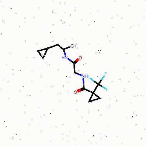 CC(CC1CC1)NC(=O)CNC(=O)C1(C(F)(F)F)CC1